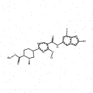 CCOc1nc(N2CCN(C(=O)OC(C)(C)C)[C@H](C)C2)ncc1C(=O)Nc1cc(F)c2nc(CC)cn2c1